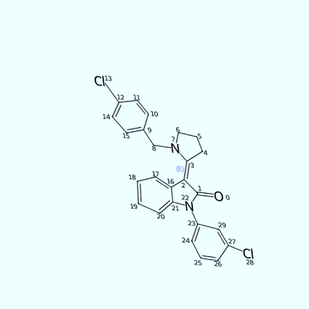 O=C1/C(=C2\CCCN2Cc2ccc(Cl)cc2)c2ccccc2N1c1cccc(Cl)c1